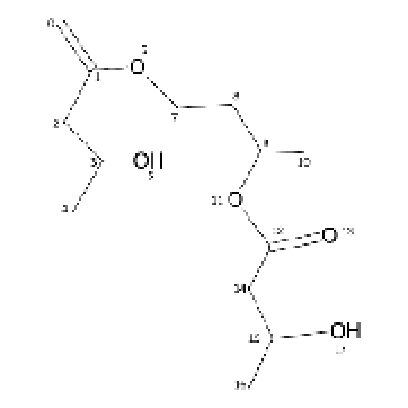 C=C(CC(C)O)OCCC(C)OC(=O)CC(C)O